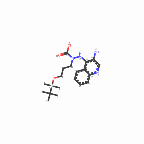 CC(C)(C)[Si](C)(C)OCCCN(Nc1c(N)cnc2ccccc12)C(=O)O